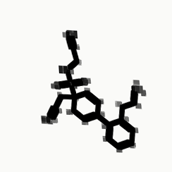 C#CCNS(=O)(=O)C1(CC#C)C=CC(c2ccccc2CC=C)=CC1